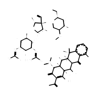 CC(=O)C1=C(O)[C@@]2(O)C(O)C3C(=O)c4c(O)cccc4[C@@](C)(O)[C@H]3[C@H](O)[C@H]2[C@H](N(C)C)C1=O.CNC1[C@H](O[C@H]2[C@H](O[C@H]3[C@H](O)[C@@H](O)[C@H](N=C(N)N)[C@@H](O)[C@@H]3N=C(N)N)O[C@@H](C)[C@]2(O)C=O)O[C@@H](CO)[C@H](O)[C@H]1O